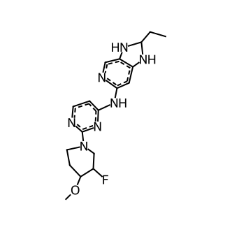 CCC1Nc2cnc(Nc3ccnc(N4CCC(OC)C(F)C4)n3)cc2N1